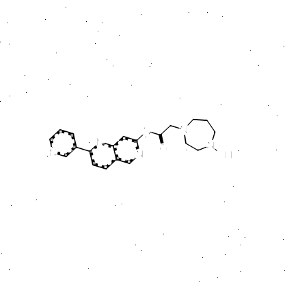 CN1CCCN(CC(=O)Nc2cc3nc(-c4cccnc4)ccc3cn2)CC1